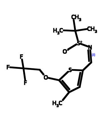 Cc1cc(/C=N\[S+]([O-])C(C)(C)C)sc1OCC(F)(F)F